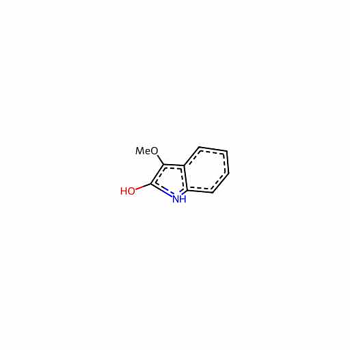 COc1c(O)[nH]c2ccccc12